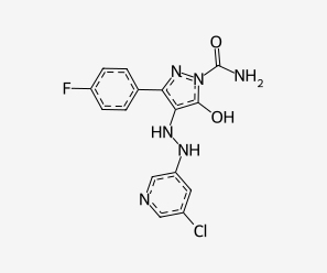 NC(=O)n1nc(-c2ccc(F)cc2)c(NNc2cncc(Cl)c2)c1O